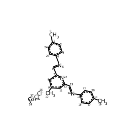 Cc1ccc(N=Cc2cc(C)cc(C=Nc3ccc(C)cc3)n2)cc1.[Cl-].[Cl-].[Cl-].[V+3]